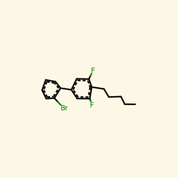 CCCCCc1c(F)cc(-c2ccccc2Br)cc1F